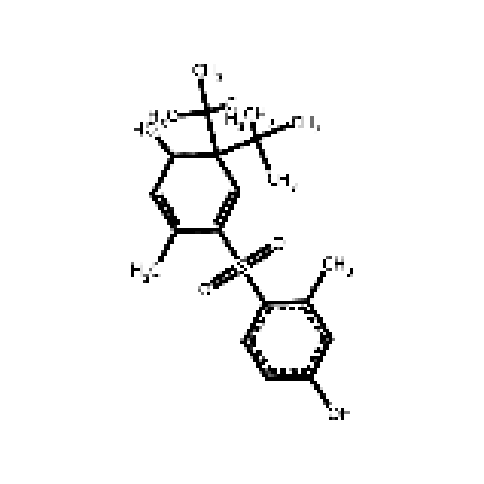 CC1=CC(O)C(C(C)(C)C)(C(C)(C)C)C=C1S(=O)(=O)c1ccc(O)cc1C